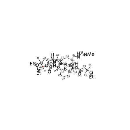 CCCCC(C)(NC(=O)CC(C)(C)OCC)C12CCCC(C(C)(CCC)NC(=O)CC(C)(C)OCC)(CCC(CNCNC)CCC(C(C)(CC)NC(=O)CC(C)(C)OCC)C1)P2